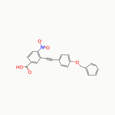 O=C(O)c1ccc([N+](=O)[O-])c(C#Cc2ccc(OCc3ccccc3)cc2)c1